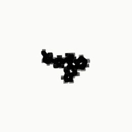 Cc1ccc(-c2nc(-c3ncn4c3c(=O)n(CC3CCCO3)c3ccccc34)no2)o1